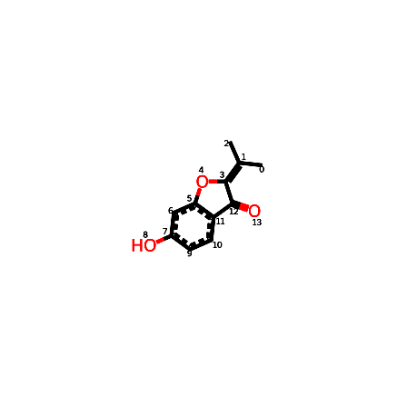 CC(C)=C1Oc2cc(O)ccc2C1=O